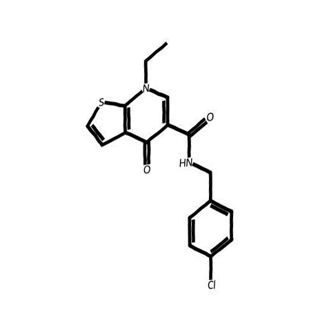 CCn1cc(C(=O)NCc2ccc(Cl)cc2)c(=O)c2ccsc21